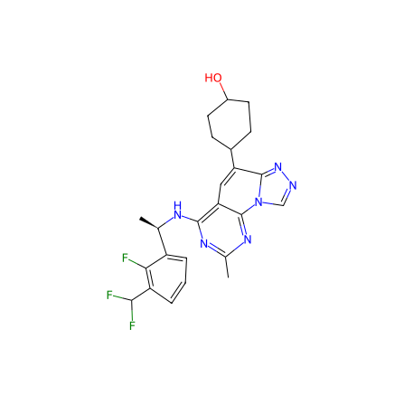 Cc1nc(N[C@H](C)c2cccc(C(F)F)c2F)c2cc(C3CCC(O)CC3)c3nncn3c2n1